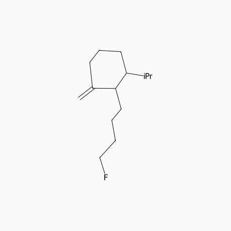 C=C1CCCC(C(C)C)C1CCCCF